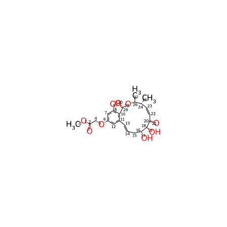 COC(=O)COc1cc(O)c2c(c1)/C=C/CC(O)[C@H](O)C(=O)/C=C\[C@@H](C)C(C)OC2=O